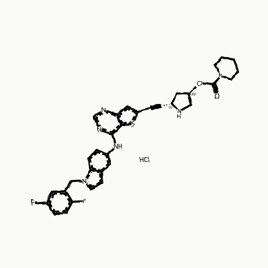 Cl.O=C(O[C@H]1CN[C@H](C#Cc2cc3ncnc(Nc4ccc5c(ccn5Cc5cc(F)ccc5F)c4)c3s2)C1)N1CCCCC1